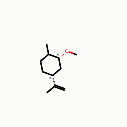 C=C(C)[C@@H]1CCC(C)[C@H](OC)C1